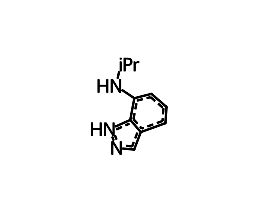 CC(C)Nc1cccc2cn[nH]c12